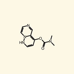 CN(C)C(=O)OC1=C2C=NC=CN2NC=C1